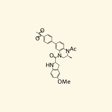 COc1ccc2c(c1)CC(C(=O)N1C[C@H](C)N(C(C)=O)c3ccc(-c4ccc(S(C)(=O)=O)cc4)cc31)N2